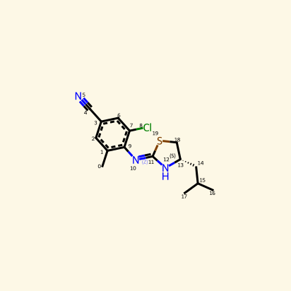 Cc1cc(C#N)cc(Cl)c1/N=C1/N[C@@H](CC(C)C)CS1